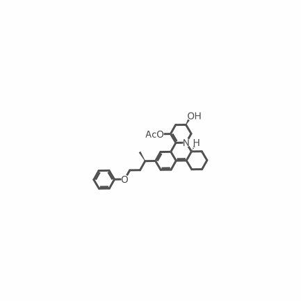 CC(=O)OC1=C2C3C=C([C@H](C)CCOc4ccccc4)C=CC3=C3CCCC[C@@H]3N2C[C@H](O)C1